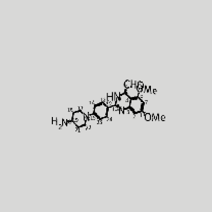 COc1cc2c(c(OC)c1)C(C=O)NC(c1ccc(N3CCC(N)CC3)cc1)=N2